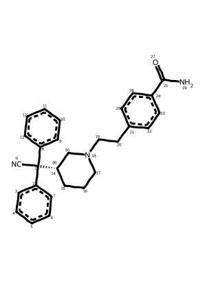 N#CC(c1ccccc1)(c1ccccc1)[C@H]1CCCN(CCc2ccc(C(N)=O)cc2)C1